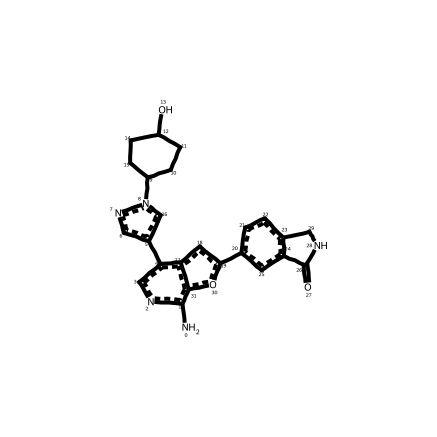 Nc1ncc(-c2cnn(C3CCC(O)CC3)c2)c2cc(-c3ccc4c(c3)C(=O)NC4)oc12